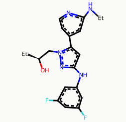 CCNc1cc(-c2cc(Nc3cc(F)cc(F)c3)nn2C[C@@H](O)CC)ccn1